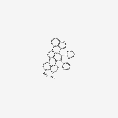 Nc1ccc2c3ccc(-c4ccccc4)c4c(-c5ccccc5)c(-c5ccccc5)c(-c5ccccc5)c(c5ccc(N)c1c25)c43